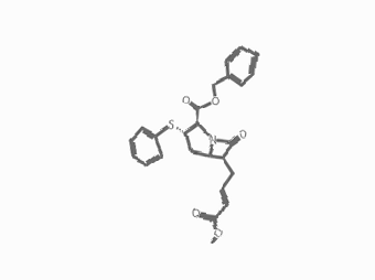 COC(=O)C=CCC1C(=O)N2C1C[C@H](Sc1ccccc1)[C@H]2C(=O)OCc1ccccc1